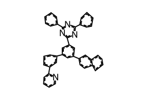 c1ccc(-c2nc(-c3ccccc3)nc(-c3cc(-c4cccc(-c5ccccn5)c4)cc(-c4ccc5ccccc5c4)c3)n2)cc1